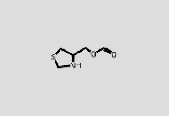 O=COCC1CSCN1